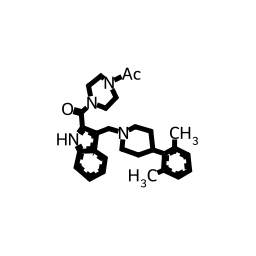 CC(=O)N1CCN(C(=O)c2[nH]c3ccccc3c2CN2CCC(c3c(C)cccc3C)CC2)CC1